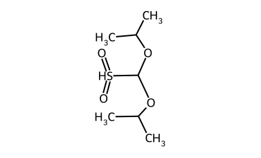 CC(C)OC(OC(C)C)[SH](=O)=O